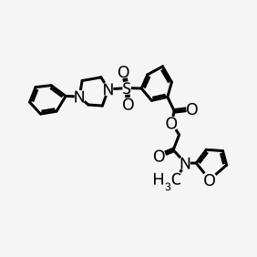 CN(C(=O)COC(=O)c1cccc(S(=O)(=O)N2CCN(c3ccccc3)CC2)c1)c1ccco1